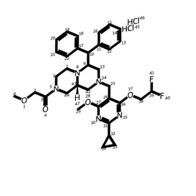 COCC(=O)N1CCN2C(C(c3ccccc3)c3ccccc3)CN(Cc3c(OC)nc(C4CC4)nc3OCC(F)F)C[C@@H]2C1.Cl.Cl